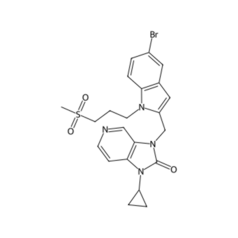 CS(=O)(=O)CCCn1c(Cn2c(=O)n(C3CC3)c3ccncc32)cc2cc(Br)ccc21